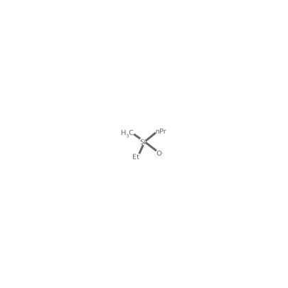 CCC[Si](C)([O])CC